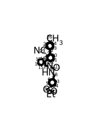 CCS(=O)(=O)c1ccc(CNC(=O)N2CC3(CCCC3)c3cc(-c4ccc(C)cc4C#N)ccc32)cc1